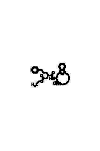 CCOC(=O)C[C@@H](CCCc1ccncc1)C(=O)NC1Cc2cn(c3ccccc23)CCCCCNC1=O